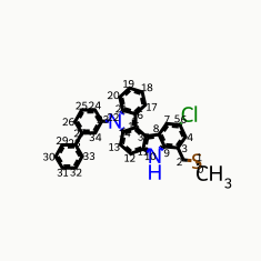 CSCc1cc(Cl)cc2c1[nH]c1ccc3c(c4ccccc4n3-c3cccc(-c4ccccc4)c3)c12